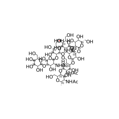 CC(=O)NC1C(O)[C@H](O[C@@H]2OC(CO)[C@H](O)[C@H](O)C2O)[C@H](O)O[C@H]1OC1[C@@H](OCC2O[C@@H](O[C@@H]3C(CO)O[C@@H](O[C@@H]4C(CO)O[C@@H](C)C(NC(C)=O)[C@H]4O)C(NC(C)=O)[C@H]3O)C(O)[C@@H](O[C@H]3O[C@@H](CO)C(O)C(O)C3O[C@@H]3OC(CO)[C@@H](O)[C@H](O)C3NC(C)=O)[C@@H]2O)OC(CO)[C@@H](O)[C@@H]1O